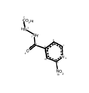 O=C(O)NNC(=O)c1ccnc([N+](=O)[O-])c1